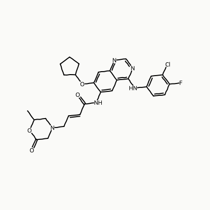 CC1CN(CC=CC(=O)Nc2cc3c(Nc4ccc(F)c(Cl)c4)ncnc3cc2OC2CCCC2)CC(=O)O1